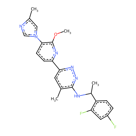 COc1nc(-c2cc(C)c(NC(C)c3ccc(F)cc3F)nn2)ccc1-n1cnc(C)c1